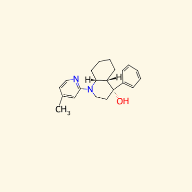 Cc1ccnc(N2CC[C@](O)(c3ccccc3)[C@H]3CCCC[C@H]32)c1